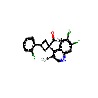 COC(=O)C1(c2c([N+](=O)[O-])cnc3cc(F)c(Br)cc23)CC(c2ccccc2F)C1